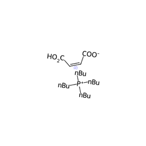 CCCC[P+](CCCC)(CCCC)CCCC.O=C([O-])/C=C\C(=O)O